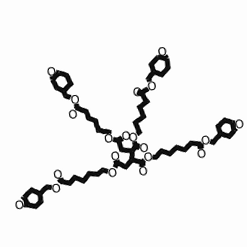 O=C(CCCCCCOC(=O)CC(C(=O)OCCCCCCC(=O)OCC1CCC2OC2C1)C(CC(=O)OCCCCCC(=O)OCC1CCC2OC2C1)C(=O)OCCCCCC(=O)OCC1CCC2OC2C1)OCC1CCC2OC2C1